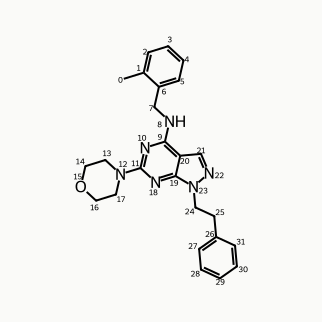 Cc1ccccc1CNc1nc(N2CCOCC2)nc2c1cnn2CCc1ccccc1